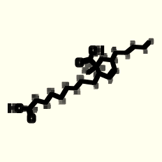 CCCCCC1C=CC(CCCCCCCCC(=O)O)C(C)(C(=O)O)C1